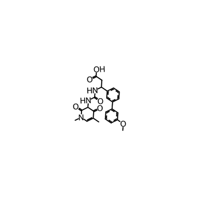 COc1cccc(-c2cccc(C(CC(=O)O)NC(=O)NC3C(=O)C(C)=CN(C)C3=O)c2)c1